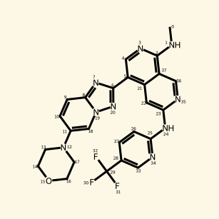 CNc1ncc(-c2nc3ccc(N4CCOCC4)cn3n2)c2cc(Nc3ccc(C(F)(F)F)cn3)ncc12